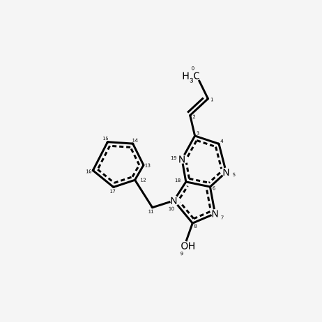 C/C=C/c1cnc2nc(O)n(Cc3ccccc3)c2n1